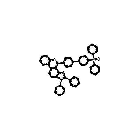 O=P(c1ccccc1)(c1ccccc1)c1ccc(-c2ccc(-c3nc4ccccc4c4ccc5c(nc(-c6ccccc6)n5-c5ccccc5)c34)cc2)cc1